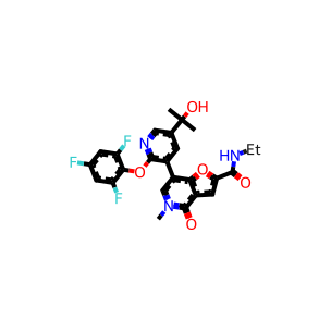 CCNC(=O)c1cc2c(=O)n(C)cc(-c3cc(C(C)(C)O)cnc3Oc3c(F)cc(F)cc3F)c2o1